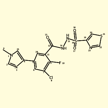 Cn1cnc(-c2cc(Cl)c(F)c(C(=O)NNS(=O)(=O)c3cscn3)c2)c1